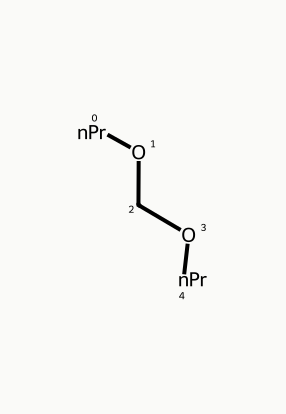 [CH2]CCOCOCCC